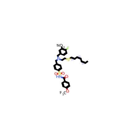 C\C=C/C=C\C=C\SCCN(Cc1ccc(S(=O)(=O)NC(=O)c2ccc(OC(F)(F)F)cc2)cc1)Cc1ccc(F)c([N+](=O)[O-])c1